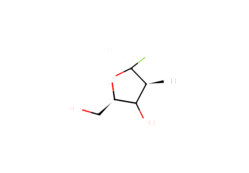 B[C@@]1(F)O[C@H](CO)C(O)[C@@H]1C